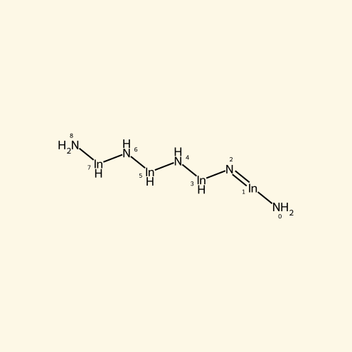 [NH2][In]=[N][InH][NH][InH][NH][InH][NH2]